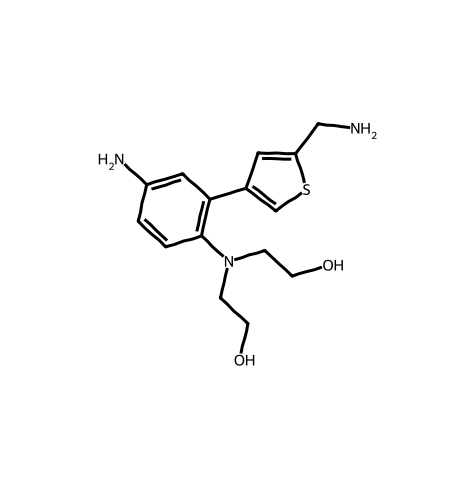 NCc1cc(-c2cc(N)ccc2N(CCO)CCO)cs1